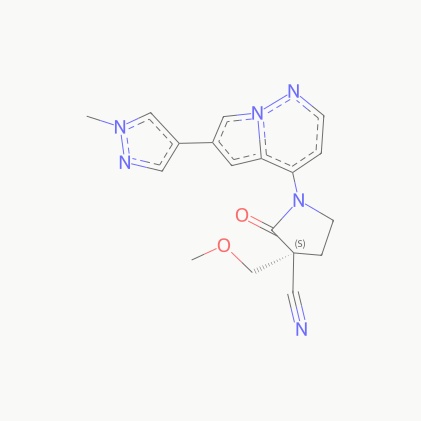 COC[C@@]1(C#N)CCN(c2ccnn3cc(-c4cnn(C)c4)cc23)C1=O